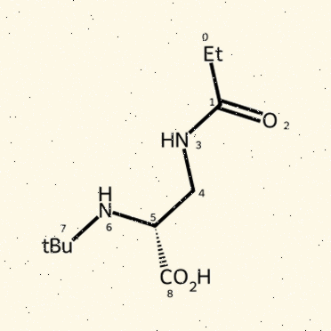 CCC(=O)NC[C@@H](NC(C)(C)C)C(=O)O